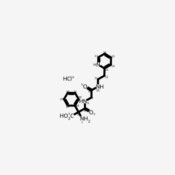 Cl.NC(C(=O)O)(C(=O)NCC(=O)NCCc1ccccn1)c1ccccc1